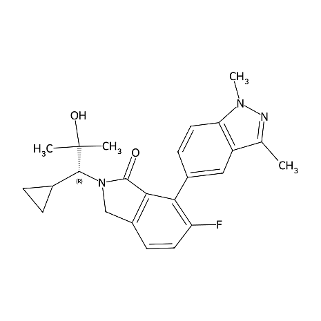 Cc1nn(C)c2ccc(-c3c(F)ccc4c3C(=O)N([C@H](C3CC3)C(C)(C)O)C4)cc12